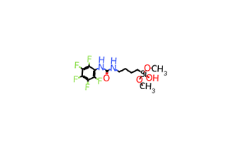 CO[Si](O)(CCCCNC(=O)Nc1c(F)c(F)c(F)c(F)c1F)OC